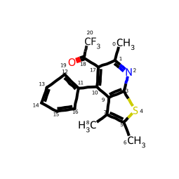 Cc1nc2sc(C)c(C)c2c(-c2ccccc2)c1C(=O)C(F)(F)F